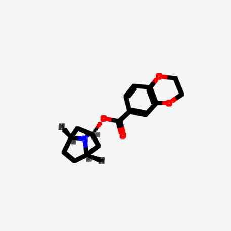 CN1[C@@H]2CC[C@H]1C[C@@H](OC(=O)c1ccc3c(c1)OCCO3)C2